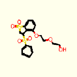 O=S1(=O)CC(S(=O)(=O)c2ccccc2)c2c(OCCOCCO)cccc21